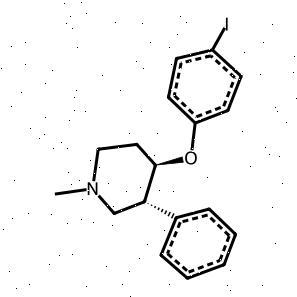 CN1CC[C@@H](Oc2ccc(I)cc2)[C@H](c2ccccc2)C1